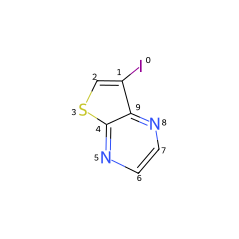 Ic1csc2nccnc12